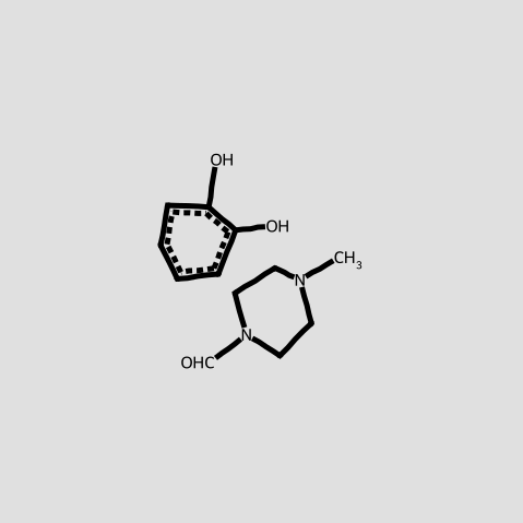 CN1CCN(C=O)CC1.Oc1ccccc1O